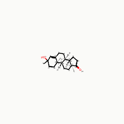 CC1(O)C=C2CC[C@@H]3[C@H](CC[C@]4(C)C(=O)CC[C@@H]34)[C@@]2(C)CC1